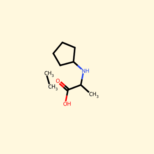 CC.CC(NC1CCCC1)C(=O)O